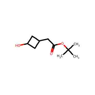 CC(C)(C)OC(=O)CC1CC(O)C1